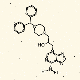 CCN(CC)c1ncn(CC(O)CN2CCN(C(c3ccccc3)c3ccccc3)CC2)c2ncnc1-2